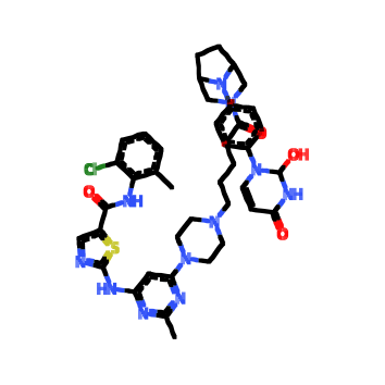 Cc1nc(Nc2ncc(C(=O)Nc3c(C)cccc3Cl)s2)cc(N2CCN(CCCCC(=O)N3CC4CCC(C3)N4c3ccc(N4C=CC(=O)NC4O)cc3)CC2)n1